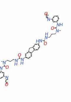 CN(CCCNC(=O)Nc1ccc2c(c1)Cc1cc(NC(=O)NCCCN(C)C(=O)Nc3cccc(N=C=O)c3)ccc1-2)C(=O)Nc1cccc(N=C=O)c1